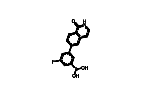 O=c1[nH]ccc2cc(-c3cc(F)cc(B(O)O)c3)ccc12